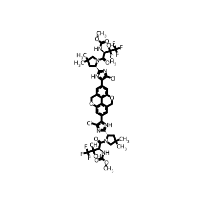 COC(=O)N[C@H](C(=O)N1CC(C)(C)C[C@H]1c1nc(Cl)c(-c2cc3c4c(c2)OCc2cc(-c5[nH]c([C@@H]6CC(C)(C)CN6C(=O)[C@@H](NC(=O)OC)C(C)(C)C(F)(F)F)nc5Cl)cc(c2-4)OC3)[nH]1)C(C)(C)C(F)(F)F